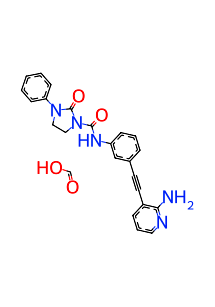 Nc1ncccc1C#Cc1cccc(NC(=O)N2CCN(c3ccccc3)C2=O)c1.O=CO